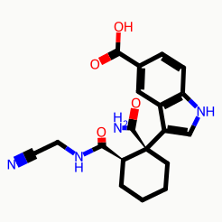 N#CCNC(=O)[C@@H]1CCCC[C@@]1(C(N)=O)c1c[nH]c2ccc(C(=O)O)cc12